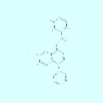 COc1cc2c(NC(=O)c3c(Br)ccc(C)c3OC)ccc(-c3ccccc3)c2cc1OC